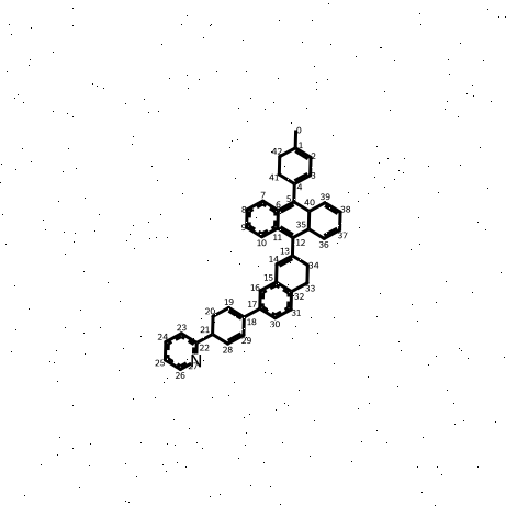 CC1=CC=C(C2=c3ccccc3=C(C3=Cc4cc(C5=CCC(c6ccccn6)C=C5)ccc4CC3)C3C=CC=CC23)CC1